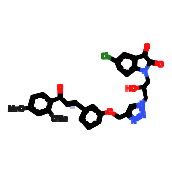 COc1ccc(C(=O)/C=C/c2cccc(OCc3cn(CC(O)CN4C(=O)C(=O)c5cc(Cl)ccc54)nn3)c2)c(OC)c1